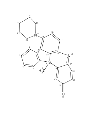 C[Si]1(c2ccccc2)C2=CC(=O)C=CC2=Nc2ccc(N3CCCCC3)cc21